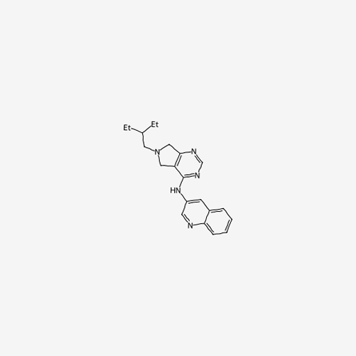 CCC(CC)CN1Cc2ncnc(Nc3cnc4ccccc4c3)c2C1